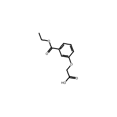 CCOC(=O)c1cccc(OCC(=O)O)c1